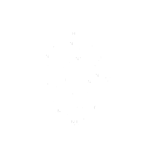 Cc1nn(C)c(C)c1-n1c(=O)n(C)c2cnc3ccc(-c4cnc(N)c(C(F)(F)F)c4)cc3c21